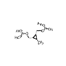 C[C@@H]1[C@@H](CON(O)O)[C@H]1CON(O)O